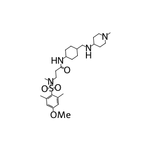 COc1cc(C)c(S(=O)(=O)N(C)CCC(=O)NC2CCC(CNC3CCN(C)CC3)CC2)c(C)c1